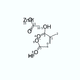 C=C(C)C(=O)O.CC(=O)[O-].CC(=O)[O-].F.[Zn+2]